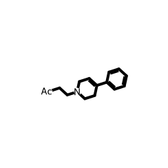 CC(=O)CCN1CC=C(c2ccccc2)CC1